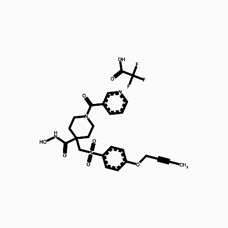 CC#CCOc1ccc(S(=O)(=O)CC2(C(=O)NO)CCN(C(=O)c3cccnc3)CC2)cc1.O=C(O)C(F)(F)F